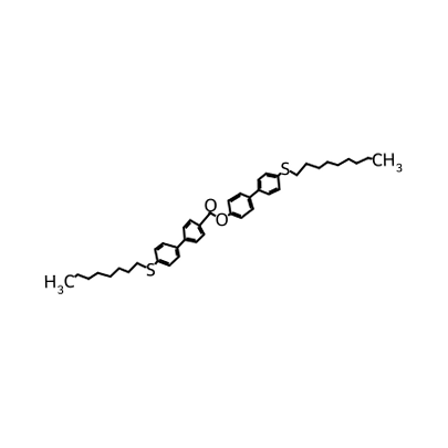 CCCCCCCCCSc1ccc(-c2ccc(OC(=O)c3ccc(-c4ccc(SCCCCCCCC)cc4)cc3)cc2)cc1